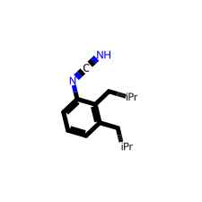 CC(C)Cc1cccc(N=C=N)c1CC(C)C